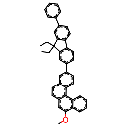 CCC1(CC)c2cc(-c3ccccc3)ccc2-c2ccc(-c3ccc4c(ccc5cc(OC)c6ccccc6c54)c3)cc21